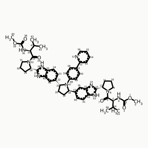 COC(=O)N[C@H](C(=O)N1CCC[C@H]1c1nc2cc([C@H]3CC[C@H](c4ccc5[nH]c([C@@H]6CCCN6C(=O)[C@@H](NC(=O)OC)C(C)C)nc5c4)N3c3ccc(-c4ccccn4)cc3)ccc2[nH]1)C(C)C